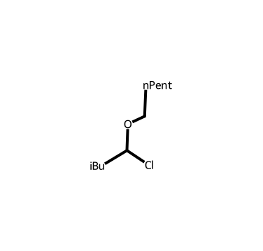 CCCCCCOC(Cl)C(C)CC